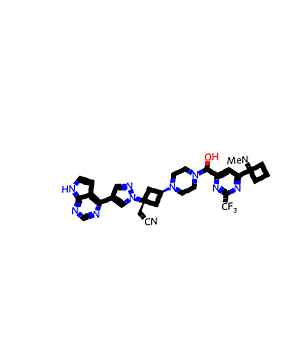 CNC1(c2cc(C(O)N3CCN([C@H]4C[C@](CC#N)(n5cc(-c6ncnc7[nH]ccc67)cn5)C4)CC3)nc(C(F)(F)F)n2)CCC1